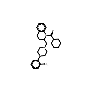 O=C(C1CCCCC1)N1c2ccccc2CCC1CN1CCN(c2ccccc2C(F)(F)F)CC1